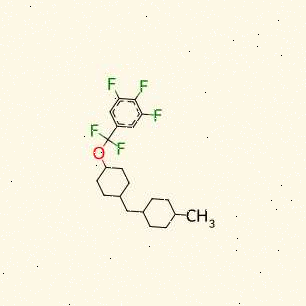 CC1CCC(CC2CCC(OC(F)(F)c3cc(F)c(F)c(F)c3)CC2)CC1